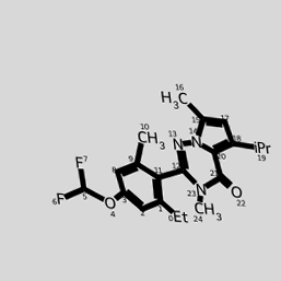 CCc1cc(OC(F)F)cc(C)c1-c1nn2c(C)cc(C(C)C)c2c(=O)n1C